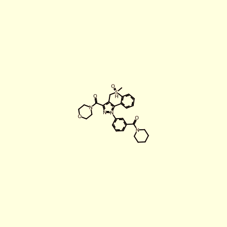 C[SH]1(=O)Cc2c(C(=O)N3CCOCC3)nn(-c3cccc(C(=O)N4CCCCC4)c3)c2-c2ccccc21